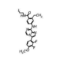 CCc1cc(Nc2nccn3c(-c4ccc(OC)c(F)c4F)cnc23)ccc1C(=O)NCCI